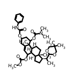 COC(=O)OC1C=C2CC(OC(=O)Nc3ccccc3)CC(OC(=O)N(C)C)[C@]2(C)[C@H]2CC[C@]3(C)[C@@H](C(C)C4OCC(C)(C)CO4)CC[C@H]3[C@H]12